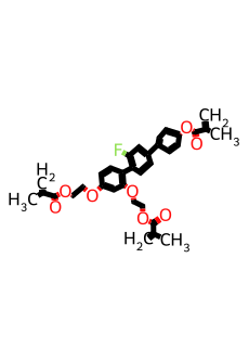 C=C(C)C(=O)OCCOc1ccc(-c2ccc(-c3ccc(OC(=O)C(=C)C)cc3)cc2F)c(OCCOC(=O)C(=C)C)c1